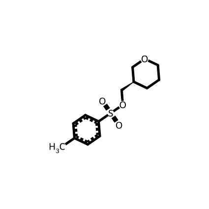 Cc1ccc(S(=O)(=O)OC[C@@H]2CCCOC2)cc1